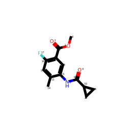 COC(=O)c1cc(NC(=O)C2CC2)c(C)cc1F